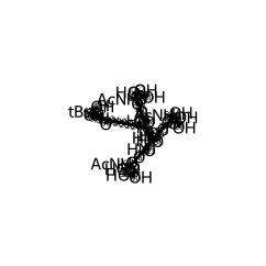 CC(=O)NC1C(OCCOCCNC(=O)CCC(NC(=O)CCC(NC(=O)CCCCCCCCCCC(=O)NC[C@H]2C[C@H](OC(C)(C)C)[C@@H](CO)O2)C(=O)NCCOCCOC2OC(CO)C(O)C(O)C2NC(C)=O)C(=O)NCCOCCOC2OC(CO)C(O)C(O)C2NC(C)=O)OCC(O)CC(O)C1O